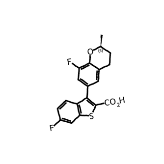 C[C@H]1CCc2cc(-c3c(C(=O)O)sc4cc(F)ccc34)cc(F)c2O1